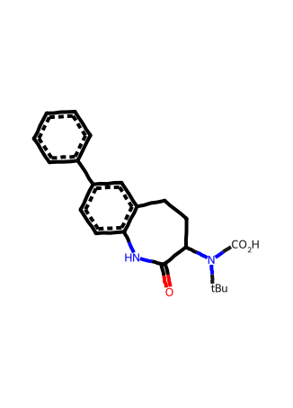 CC(C)(C)N(C(=O)O)C1CCc2cc(-c3ccccc3)ccc2NC1=O